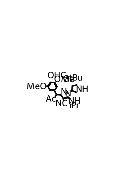 CC(C)(C)OC=O.COc1cc(OC)cc(C(C(C)=O)c2nn(C3CCNC3)c(NC(C)C)c2C#N)c1